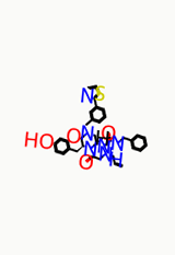 C=CCN1CC(=O)N2[C@@H](Cc3ccc(O)cc3)C(=O)N(Cc3cccc(-c4nccs4)c3)C[C@@H]2N1C(=O)NCc1ccccc1